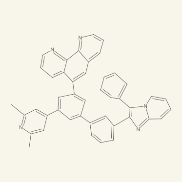 Cc1cc(-c2cc(-c3cccc(-c4nc5ccccn5c4-c4ccccc4)c3)cc(-c3cc4cccnc4c4ncccc34)c2)cc(C)n1